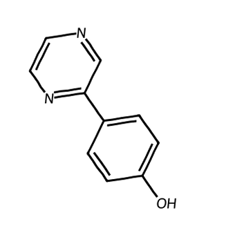 Oc1ccc(-c2cnccn2)cc1